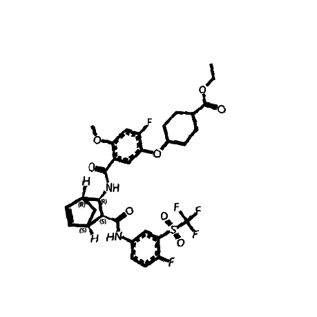 CCOC(=O)C1CCC(Oc2cc(C(=O)N[C@H]3[C@@H](C(=O)Nc4ccc(F)c(S(=O)(=O)C(F)(F)F)c4)[C@@H]4C=C[C@H]3C4)c(OC)cc2F)CC1